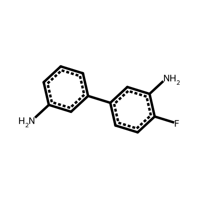 Nc1cccc(-c2ccc(F)c(N)c2)c1